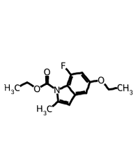 CCOC(=O)n1c(C)cc2cc(OCC)cc(F)c21